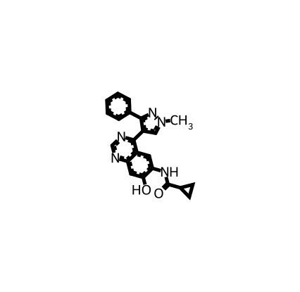 Cn1cc(-c2ncnc3cc(O)c(NC(=O)C4CC4)cc23)c(-c2ccccc2)n1